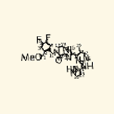 COCc1cc(F)c(F)cc1CN1CCn2cc(-c3nc(Nc4ccn[nH]4)ncc3C)nc2C1=O